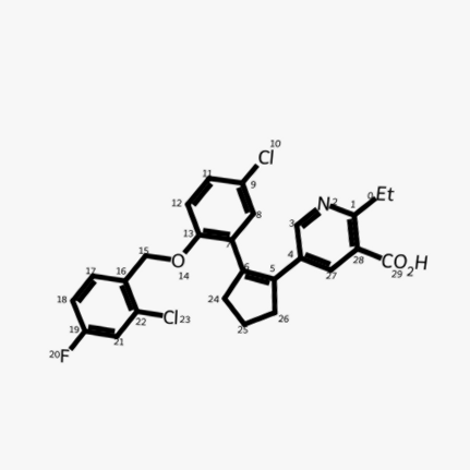 CCc1ncc(C2=C(c3cc(Cl)ccc3OCc3ccc(F)cc3Cl)CCC2)cc1C(=O)O